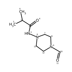 CC(C)C(=O)NN1CCN(C=O)CC1